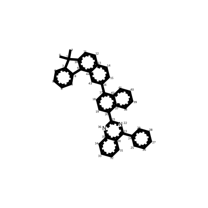 CC1(C)c2ccccc2-c2c1ccc1ccc(-c3ccc(-c4nc(-c5ccccc5)c5ccccc5n4)c4ccccc34)cc21